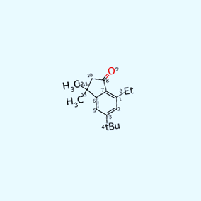 CCc1cc(C(C)(C)C)cc2c1C(=O)CC2(C)C